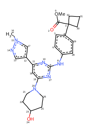 COC(=O)C1(c2ccc(Nc3nc(-c4cnn(C)c4)cc(N4CCC(O)CC4)n3)cc2)CCC1